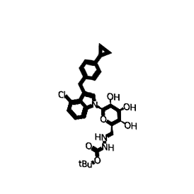 CC(C)(C)OC(=O)NNC[C@H]1O[C@@H](n2cc(Cc3ccc(C4CC4)cc3)c3c(Cl)cccc32)[C@H](O)[C@@H](O)[C@@H]1O